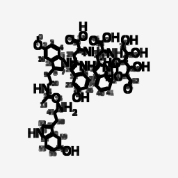 COc1ccc2[nH]cc(CCNC(C)=O)c2c1.NC(Cc1cc2cc(O)ccc2[nH]1)C(=O)O.NC(Cc1cc2ccccc2[nH]1)C(=O)O.NCCc1c[nH]c2ccc(O)cc12.O=CC(O)C(O)C(O)C(O)CO